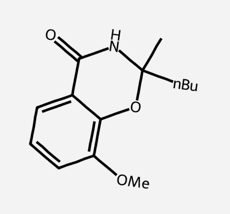 CCCCC1(C)NC(=O)c2cccc(OC)c2O1